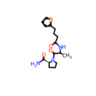 CC(NC(=O)CCCc1cccs1)C(=O)N1CCC[C@H]1C(N)=O